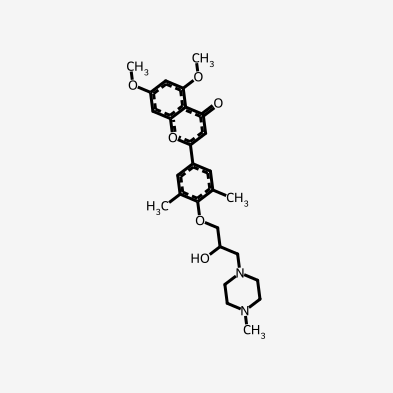 COc1cc(OC)c2c(=O)cc(-c3cc(C)c(OCC(O)CN4CCN(C)CC4)c(C)c3)oc2c1